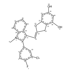 Cn1c(-c2ccc(F)c(Cl)c2)c(C=C2Cc3c(O)cc(O)cc3O2)c2ccccc21